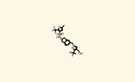 Cc1cc(S(=O)(=O)N[C@@H]2Cc3ccc(Cn4cc(CO)c(C(F)(F)F)n4)cc3C2)c(C(F)(F)F)o1